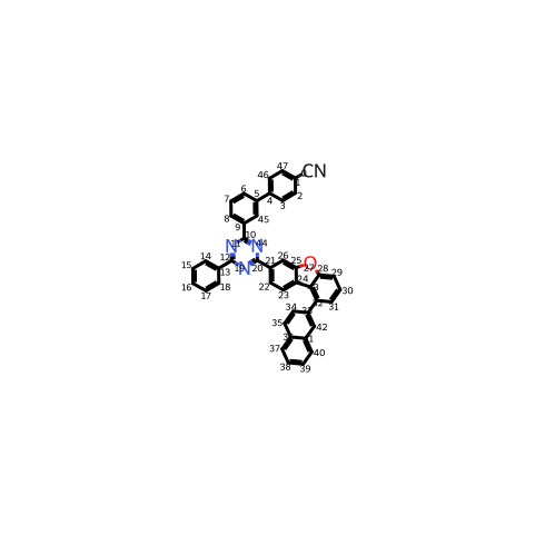 N#Cc1ccc(-c2cccc(-c3nc(-c4ccccc4)nc(-c4ccc5c(c4)oc4cccc(-c6ccc7ccccc7c6)c45)n3)c2)cc1